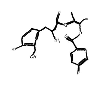 CC(OC(=O)c1ccc(F)cc1)C(C)OC(=O)C(N)Cc1ccc(O)c(O)c1